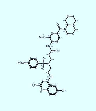 COc1ccc(S(=O)(=O)N(CCNc2cc(C)nc3ccc(Cl)cc23)CCC(=O)Nc2ccc(C(=O)N3CCCC4CCCCC43)cc2OC)cc1